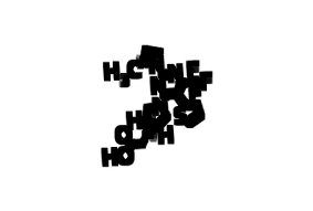 C[C@H]1CCN1c1nc(N2C[C@@H]3[C@@H](CC(=O)O)[C@@H]3C2)c(-c2cccs2)c(C(F)(F)F)n1